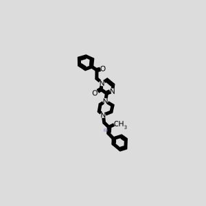 C/C(=C\c1ccccc1)CN1CCN(c2nccn(CC(=O)c3ccccc3)c2=O)CC1